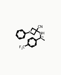 C[C@H](NC1(C#N)CN(c2ccccc2)C1)c1ccc(C(F)(F)F)cc1